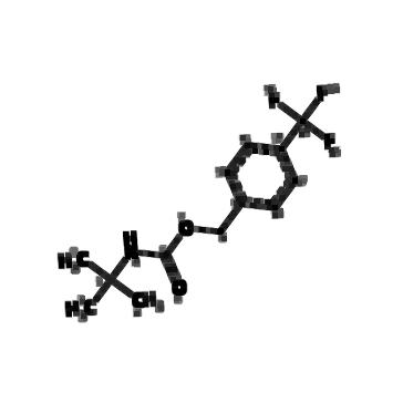 CC(C)(C)NC(=O)OCc1ccc(C(F)(F)F)cc1